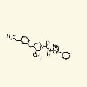 CCc1cccc(/C=C2\CCN(C(=O)Nc3nnc(-c4ccccc4)o3)CC2C)c1